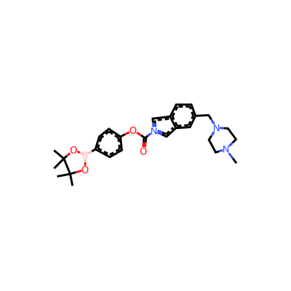 CN1CCN(Cc2ccc3cn(C(=O)Oc4ccc(B5OC(C)(C)C(C)(C)O5)cc4)cc3c2)CC1